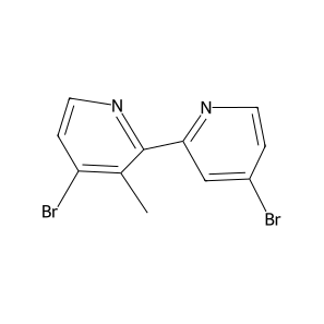 Cc1c(Br)ccnc1-c1cc(Br)ccn1